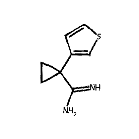 N=C(N)C1(c2ccsc2)CC1